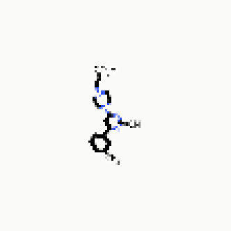 N#Cc1nc(-c2cccc(C(F)(F)F)c2)cc(N2CCN(CCC(=O)O)CC2)n1